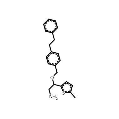 Cc1ccc(C(CN)OCc2ccc(CCc3ccccc3)cc2)s1